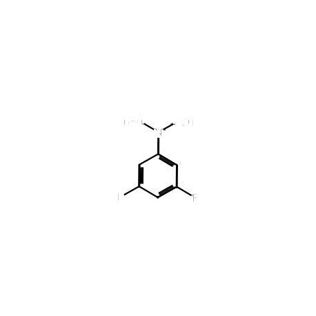 CCCCN(CCCC)c1cc(F)cc(F)c1